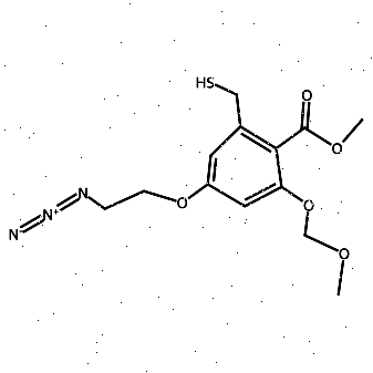 COCOc1cc(OCCN=[N+]=[N-])cc(CS)c1C(=O)OC